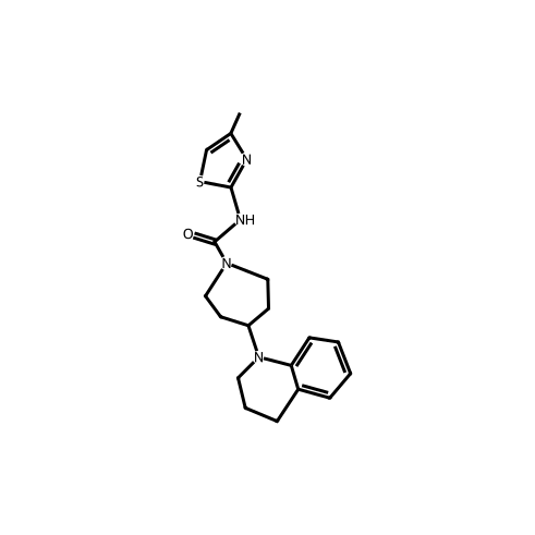 Cc1csc(NC(=O)N2CCC(N3CCCc4ccccc43)CC2)n1